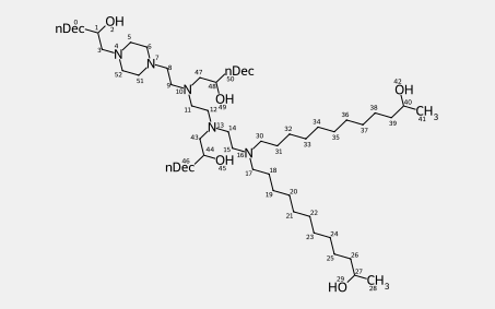 CCCCCCCCCCC(O)CN1CCN(CCN(CCN(CCN(CCCCCCCCCCC(C)O)CCCCCCCCCCC(C)O)CC(O)CCCCCCCCCC)CC(O)CCCCCCCCCC)CC1